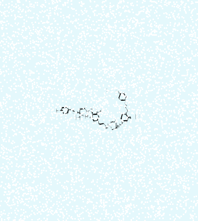 Cc1ccc(OCCc2ccc(CN3CCN(C(=O)C=Cc4cc(C)c(Oc5ccc(OCc6ccc(F)cc6)cn5)c(C)c4)CC3)cc2C)cc1